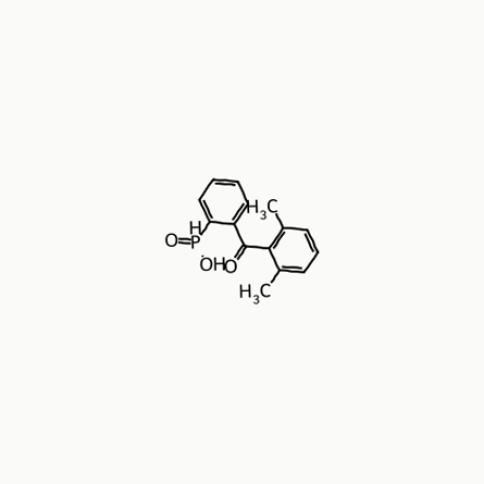 Cc1cccc(C)c1C(=O)c1ccccc1[PH](=O)O